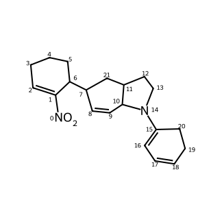 O=[N+]([O-])C1=CCCCC1C1C=CC2C(CCN2C2=CC=CCC2)C1